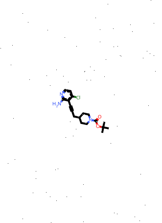 CC(C)(C)OC(=O)N1CCC(CC#Cc2c(Cl)ccnc2N)CC1